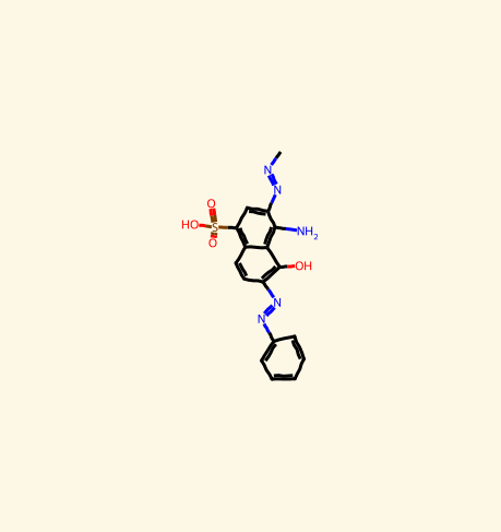 CN=Nc1cc(S(=O)(=O)O)c2ccc(N=Nc3ccccc3)c(O)c2c1N